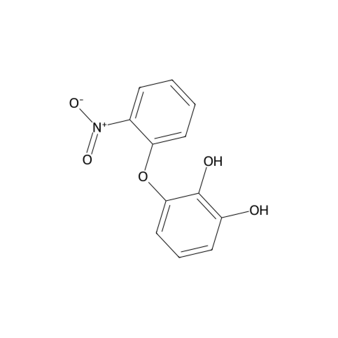 O=[N+]([O-])c1ccccc1Oc1cccc(O)c1O